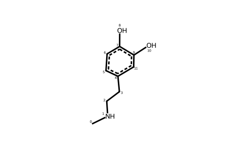 CNCCc1ccc(O)c(O)c1